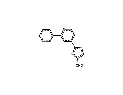 O=Cc1ccc(-c2ccnc(-c3ccccc3)c2)s1